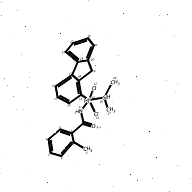 Cc1ccccc1C(=O)[NH][Hf]([Cl])([Cl])([c]1cccc2c1Cc1ccccc1-2)[SiH](C)C